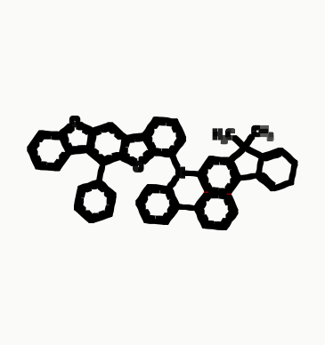 CC1(C)C2=CCCC=C2c2ccc(N(c3ccccc3-c3ccccc3)c3cccc4c3oc3c(-c5ccccc5)c5c(cc34)oc3ccccc35)cc21